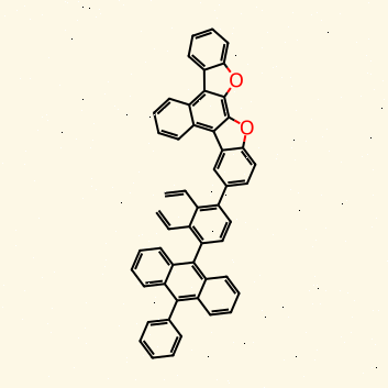 C=Cc1c(-c2ccc3oc4c5oc6ccccc6c5c5ccccc5c4c3c2)ccc(-c2c3ccccc3c(-c3ccccc3)c3ccccc23)c1C=C